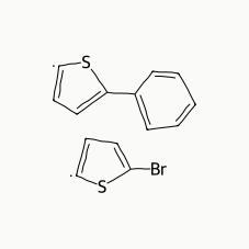 Brc1cc[c]s1.[c]1ccc(-c2ccccc2)s1